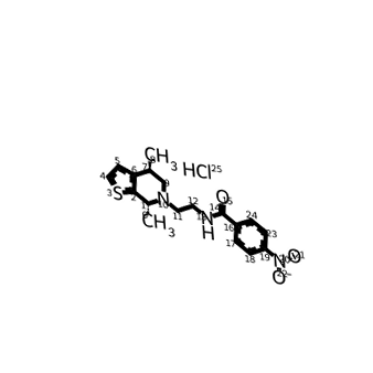 C[C@@H]1c2sccc2[C@@H](C)CN1CCNC(=O)c1ccc([N+](=O)[O-])cc1.Cl